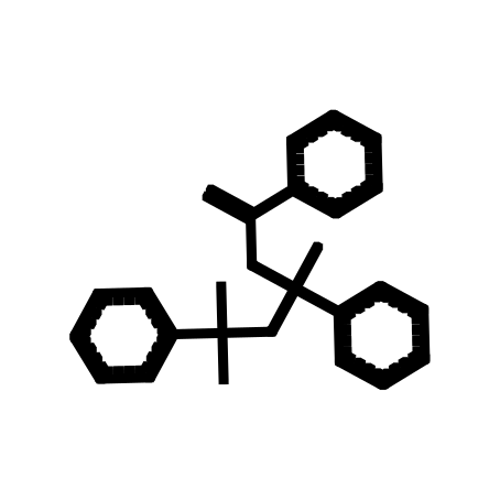 C=C(CC(C)(CC(C)(C)c1ccccc1)c1ccccc1)c1ccccc1